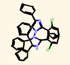 Clc1ccccc1-c1nc(-c2ccccc2)cn1N1C(c2ccccc2Cl)NC(c2ccccc2)C1(c1ccccc1)c1ccccc1